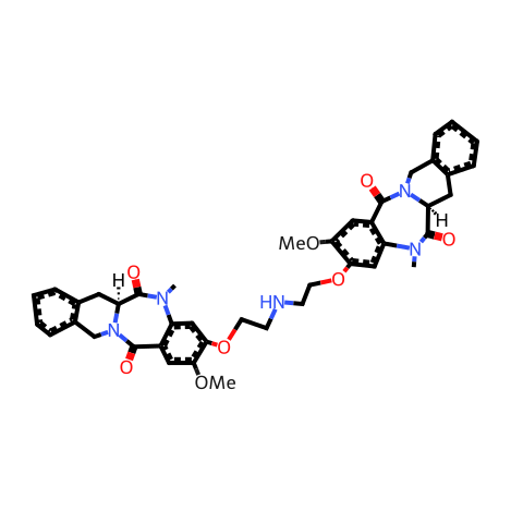 COc1cc2c(cc1OCCNCCOc1cc3c(cc1OC)C(=O)N1Cc4ccccc4C[C@H]1C(=O)N3C)N(C)C(=O)[C@@H]1Cc3ccccc3CN1C2=O